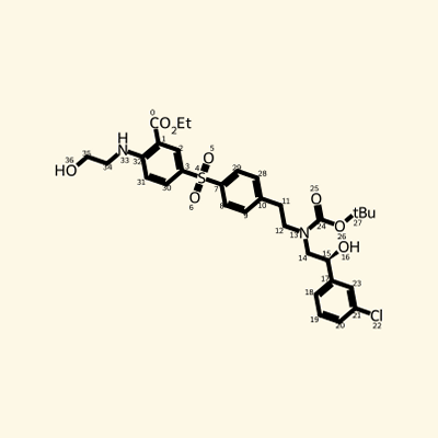 CCOC(=O)c1cc(S(=O)(=O)c2ccc(CCN(C[C@@H](O)c3cccc(Cl)c3)C(=O)OC(C)(C)C)cc2)ccc1NCCO